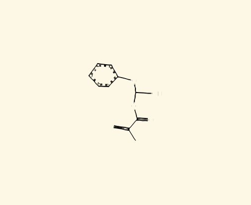 C=C(C)C(=O)OC(O)Oc1ccccc1